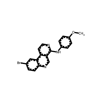 COc1ccc(Nc2nccc3c2cnc2ccc(Br)cc23)cc1